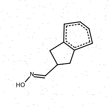 ON=CC1Cc2ccccc2C1